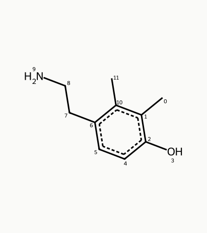 Cc1c(O)ccc(CCN)c1C